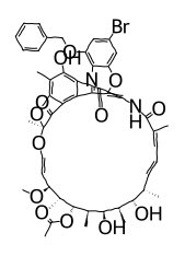 CO[C@H]1/C=C/O[C@@]2(C)Oc3c(C)c(O)c4c(=O)c(c5oc6cc(Br)cc(OCc7ccccc7)c6nc-5c4c3C2=O)NC(=O)/C(C)=C\C=C\[C@H](C)[C@H](O)[C@@H](C)[C@@H](O)[C@@H](C)[C@H](OC(C)=O)[C@@H]1C